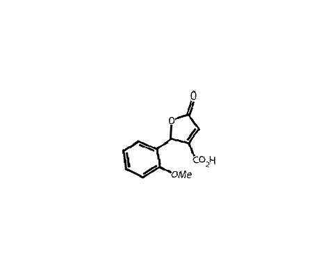 COc1ccccc1C1OC(=O)C=C1C(=O)O